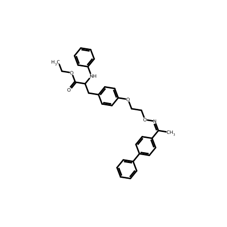 CCOC(=O)C(Cc1ccc(OCCON=C(C)c2ccc(-c3ccccc3)cc2)cc1)Nc1ccccc1